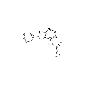 O=C(Nc1ncnc2c1CC(c1ccccc1)O2)C1CC1